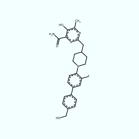 Cc1nc(CC2CCN(c3ccc(-c4ccc(CO)cc4)cc3F)CC2)nc(C(N)=O)c1O